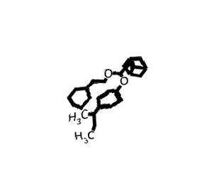 CCC(C)c1ccc(OC(OCCC2CCCCC2)C2=C3C4CC(C2)CC3C4)cc1